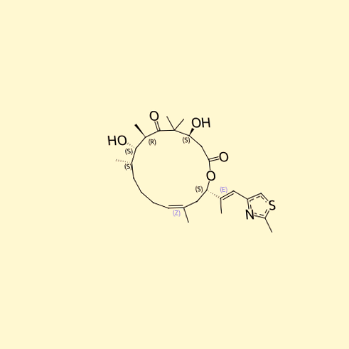 C/C1=C/CCC[C@H](C)[C@H](O)[C@@H](C)C(=O)C(C)(C)[C@@H](O)CC(=O)O[C@H](/C(C)=C/c2csc(C)n2)C1